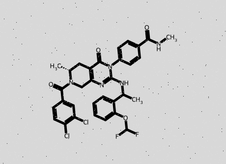 CNC(=O)c1ccc(-n2c(NC(C)c3ccccc3OC(F)F)nc3c(c2=O)C[C@@H](C)N(C(=O)c2ccc(Cl)c(Cl)c2)C3)cc1